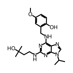 COc1ccc(O)c(CNc2nc(NCCC(C)(C)O)nc3c2ncn3C(C)C)c1